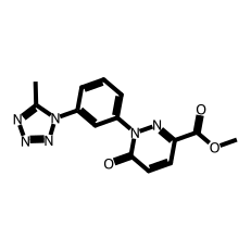 COC(=O)c1ccc(=O)n(-c2cccc(-n3nnnc3C)c2)n1